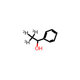 [2H]C([2H])([2H])C(O)c1ccccc1